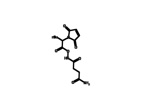 CCCCC(C(=O)ONC(=O)CCC(N)=O)N1C(=O)C=CC1=O